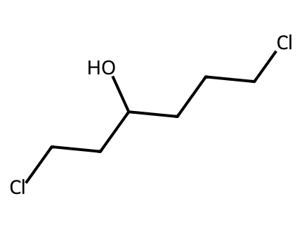 OC(CCCl)CCCCl